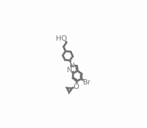 OCCC1CCC(n2cc3cc(Br)c(OC4CC4)cc3n2)CC1